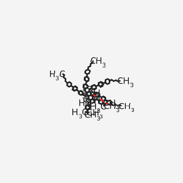 CCCCCC1CCC(c2ccc(-c3ccc(Sc4c(Sc5ccc(-c6ccc(C7CCC(CCCCC)CC7)cc6)cc5)c(Sc5ccc(-c6ccc(C7CCC(CCCCC)CC7)cc6)cc5)c5c(c4Sc4ccc(-c6ccc(C7CCC(CCCCC)CC7)cc6)cc4)C(=O)c4c(Nc6ccc(C(C)(C)C)cc6)ccc(Nc6ccc(C(C)(C)C)cc6)c4C5=O)cc3)cc2)CC1